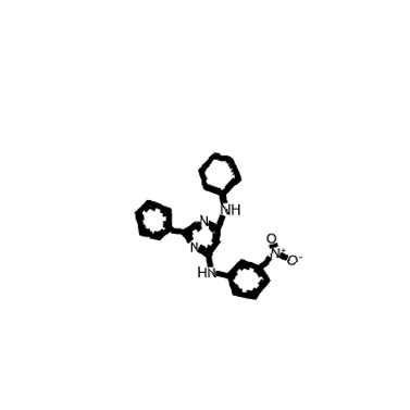 O=[N+]([O-])c1cccc(Nc2cc(NC3CCCCC3)nc(-c3ccccc3)n2)c1